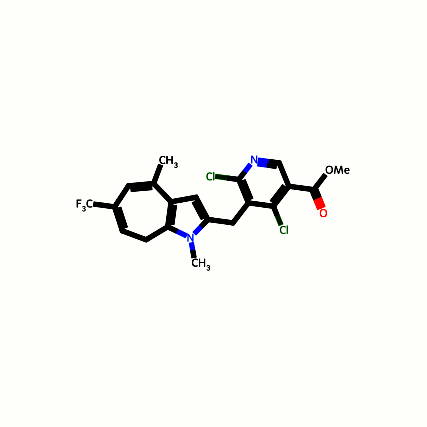 COC(=O)c1cnc(Cl)c(Cc2cc3c(n2C)CC=C(C(F)(F)F)C=C3C)c1Cl